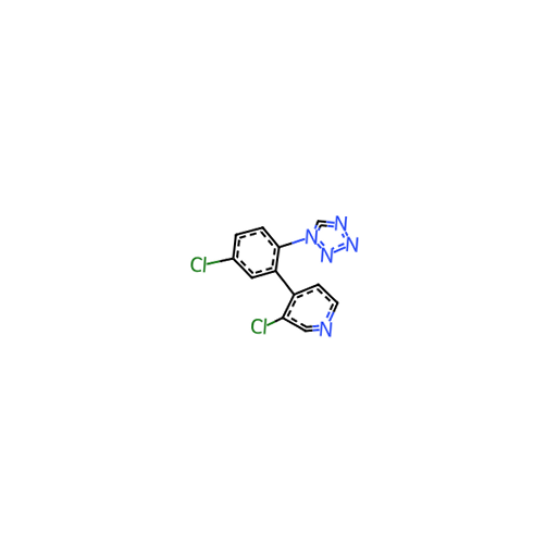 Clc1ccc(-n2cnnn2)c(-c2ccncc2Cl)c1